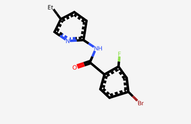 CCc1ccc(NC(=O)c2ccc(Br)cc2F)nc1